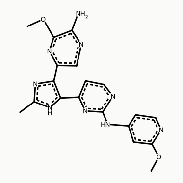 COc1cc(Nc2nccc(-c3[nH]c(C)nc3-c3cnc(N)c(OC)n3)n2)ccn1